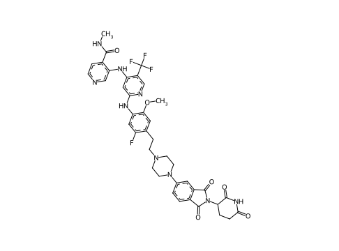 CNC(=O)c1ccncc1Nc1cc(Nc2cc(F)c(CCN3CCN(c4ccc5c(c4)C(=O)N(C4CCC(=O)NC4=O)C5=O)CC3)cc2OC)ncc1C(F)(F)F